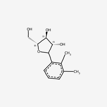 Cc1cccc(C2O[C@H](CO)[C@@H](O)[C@@H]2O)c1C